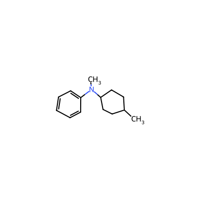 CC1CCC(N(C)c2ccccc2)CC1